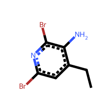 CCc1cc(Br)nc(Br)c1N